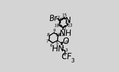 O=C(NCC(F)(F)F)[C@H]1CCCC[C@H]1Nc1cncc(Br)c1